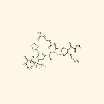 CCOc1cc2c(cc1C(=O)NC)C(=NC(=O)OCOC(C)=O)N(CC(=O)c1cc(N3CCCC3)c(OC(CC)C(=O)O)c(C(C)(C)C)c1)C2